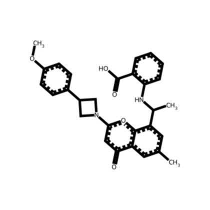 COc1ccc(C2CN(c3cc(=O)c4cc(C)cc(C(C)Nc5ccccc5C(=O)O)c4o3)C2)cc1